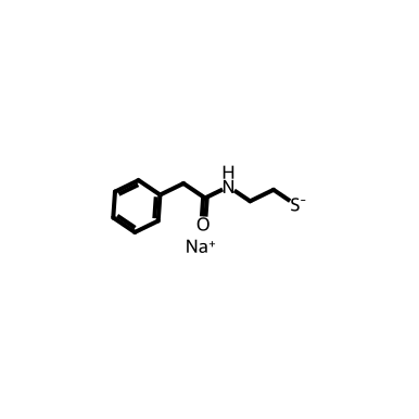 O=C(Cc1ccccc1)NCC[S-].[Na+]